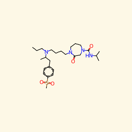 CCCN(CCCCN1CCCN(C(=O)NC(C)C)CC1=O)C(C)Cc1ccc(S(C)(=O)=O)cc1